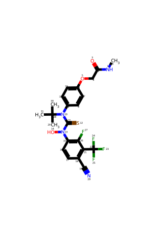 CNC(=O)COc1ccc(N(C(=S)N(O)c2ccc(C#N)c(C(F)(F)F)c2F)C(C)(C)C)cc1